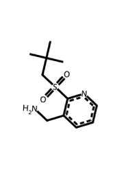 CC(C)(C)CS(=O)(=O)c1ncccc1CN